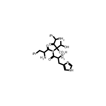 CC(C)CC(N)C(=O)N(C(=O)C(N)Cc1c[nH]cn1)C(C(=O)O)(C(=O)C(N)C(C)C)C(C)O